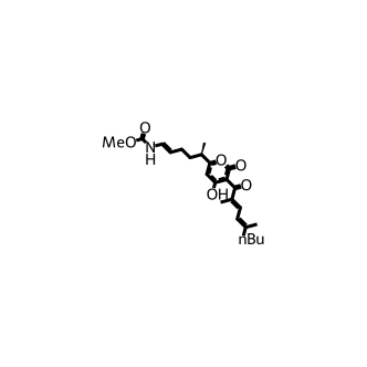 CCCC/C(C)=C/C=C(\C)C(=O)c1c(O)cc([C@H](C)CC/C=C/NC(=O)OC)oc1=O